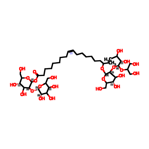 CC(CCCCCC/C=C\CCCCCCCC(=O)O[C@@H]1OC(CO)[C@@H](O)C(O)[C@@H]1O[C@@H]1OC(CO)[C@@H](O)C(O)[C@@H]1O)O[C@@H]1OC(CO)[C@@H](O)C(O)[C@@H]1O[C@H](OC(CO)CO)[C@@H](O)C(C)O